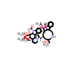 CCC1(O)CNCCc2c([nH]c3ccccc23)[C@@](C(=O)OC)(c2cc3c(cc2OC)N(C=O)C2C(O)(C(=O)OC)[C@H](OC(C)=O)[C@]4(CC)C=CCN5CC[C@]32[C@@H]54)C[C@H](CI)C1